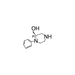 OC[C@H]1CNCCN1c1ccccc1